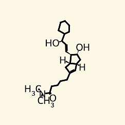 CN(C)C(=O)CCCCC1=C[C@H]2C[C@@H](O)[C@H](/C=C/[C@@H](O)C3CCCCC3)[C@H]2C1